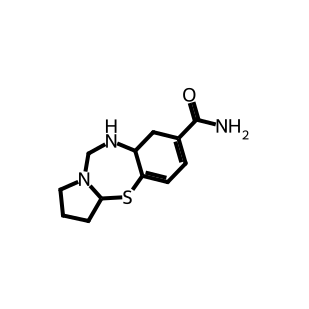 NC(=O)C1=CC=C2SC3CCCN3CNC2C1